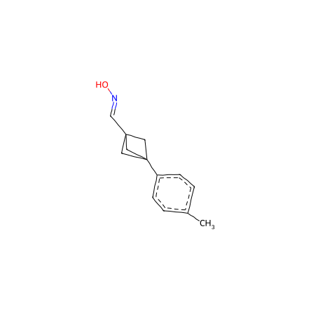 Cc1ccc(C23CC(C=NO)(C2)C3)cc1